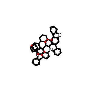 c1ccc(-n2c3ccccc3c3ccc(N(c4ccccc4-c4ccc5c(c4)oc4ccccc45)c4ccccc4-c4cccc5cccc(C6CCCCC6)c45)cc32)cc1